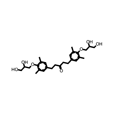 Cc1cc(CCC(=O)CCc2cc(C)c(OCC(O)CO)c(C)c2)cc(C)c1OCC(O)CO